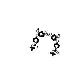 COc1cc(OBOc2ccc(OC3CCN(C(=O)OC(C)(C)C)CC3)c(OC)c2)ccc1OC1CCN(C(=O)OC(C)(C)C)CC1